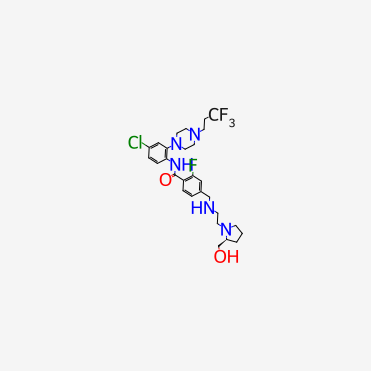 O=C(Nc1ccc(Cl)cc1N1CCN(CCC(F)(F)F)CC1)c1ccc(CNCCN2CCC[C@H]2CO)cc1F